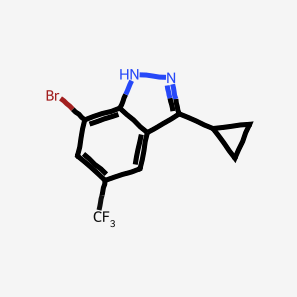 FC(F)(F)c1cc(Br)c2[nH]nc(C3CC3)c2c1